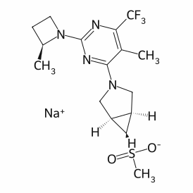 Cc1c(N2C[C@@H]3[C@H](C2)[C@@H]3[SH](C)(=O)[O-])nc(N2CC[C@@H]2C)nc1C(F)(F)F.[Na+]